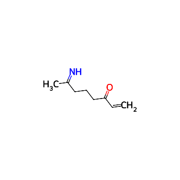 C=CC(=O)CCCC(C)=N